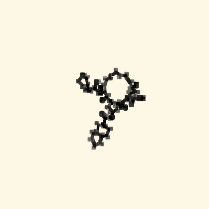 O=C(NC1CCOC1)N[C@H]1CCCCCC=C[C@@H]2C[C@@]2(C(=O)O)NC(=O)[C@@H]2C[C@@H](OC(=O)N3CCc4ccccc4C3)CN2C1=O